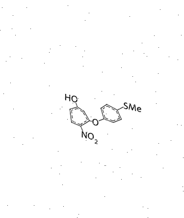 CSc1ccc(Oc2cc(O)ccc2[N+](=O)[O-])cc1